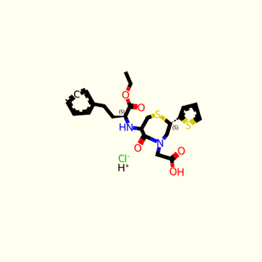 CCOC(=O)[C@H](CCc1ccccc1)NC1CS[C@H](c2cccs2)CN(CC(=O)O)C1=O.[Cl-].[H+]